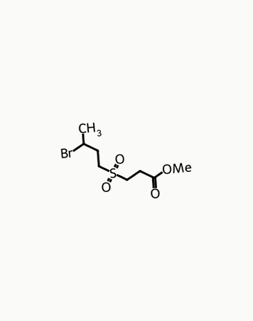 COC(=O)CCS(=O)(=O)CCC(C)Br